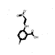 O=C(O)c1cc(F)ccc1N/C=C/[N+](=O)[O-]